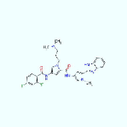 CN(C)CCCn1cc(NC(=O)c2ccc(F)cc2F)cc1C(=O)Nc1cc(-c2nc3ccccc3[nH]2)n(C)c1